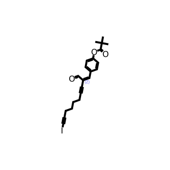 CC(C)(C)C(=O)Oc1ccc(/C=C(/C#CCCCCC#CI)C=O)cc1